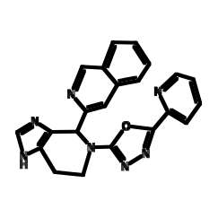 c1ccc(-c2nnc(N3CCc4[nH]cnc4C3c3cc4ccccc4cn3)o2)nc1